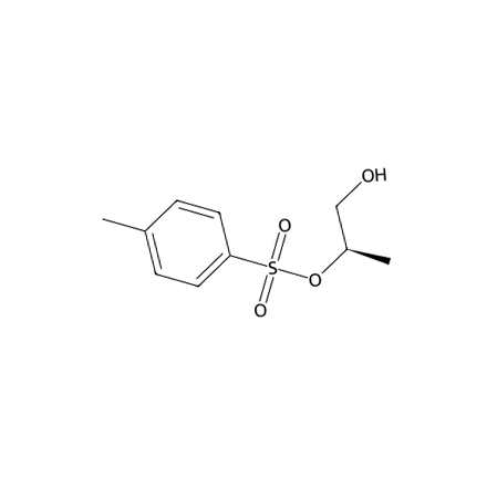 Cc1ccc(S(=O)(=O)O[C@H](C)CO)cc1